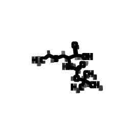 CCSCC(NC(=O)OC(C)(C)C)C(=O)O